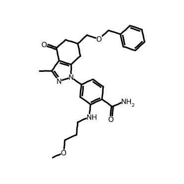 COCCCNc1cc(-n2nc(C)c3c2CC(COCc2ccccc2)CC3=O)ccc1C(N)=O